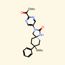 CN[C@]1(c2ccccc2)CC[C@]2(CC1)CN(c1cnc(C(=O)OC)nc1)C(=O)N2